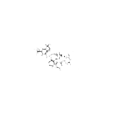 Cc1cc(C)nc(O[C@H](C(=O)O)[C@@]2(c3ccccc3)NCC(=O)N(Cc3cc(C(F)(F)F)cc(C(F)(F)F)c3)c3ccccc32)n1